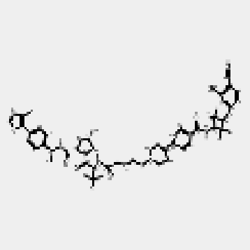 Cc1ncsc1-c1ccc([C@H](C)NC(=O)[C@@H]2C[C@H](F)CN2C(=O)[C@@H](NC(=O)COCCN2CCN(c3ccc(C(=O)NC4C(C)(C)C(Oc5ccc(C#N)c(Cl)c5)C4(C)C)cn3)CC2)C(C)(C)C)cc1